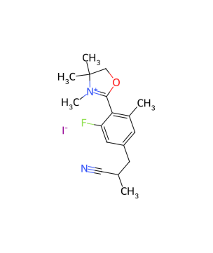 Cc1cc(CC(C)C#N)cc(F)c1C1=[N+](C)C(C)(C)CO1.[I-]